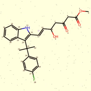 COC(=O)CC(=O)CC(O)/C=C/c1[nH]c2ccccc2c1C(C)(C)c1ccc(F)cc1